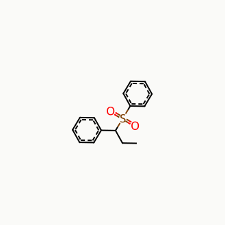 CCC(c1ccccc1)S(=O)(=O)c1ccccc1